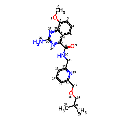 COc1cccc2c(C(=O)NCc3cccc(COCC(C)C)n3)nc(N)nc12